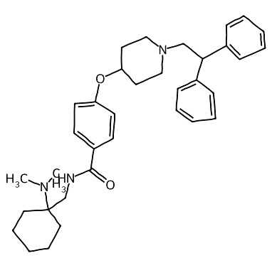 CN(C)C1(CNC(=O)c2ccc(OC3CCN(CC(c4ccccc4)c4ccccc4)CC3)cc2)CCCCC1